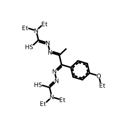 CCOc1ccc(C(=N\N=C(/S)N(CC)CC)/C(C)=N/N=C(\S)N(CC)CC)cc1